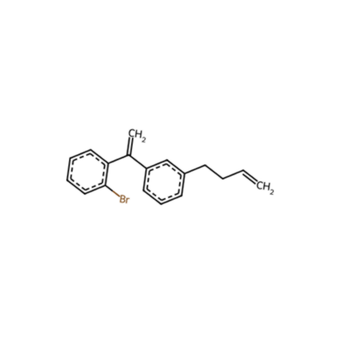 C=CCCc1cccc(C(=C)c2ccccc2Br)c1